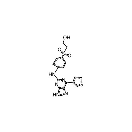 O=S(=O)(CCO)c1ccc(Nc2nc(-c3ccsc3)c3nc[nH]c3n2)cc1